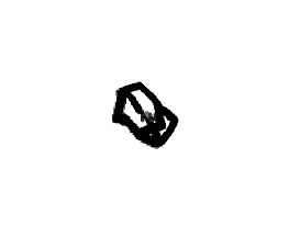 C1C2CC3CC1NC3C2